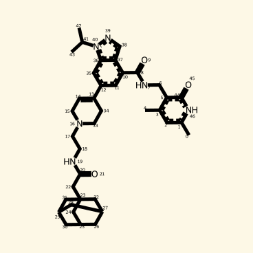 Cc1cc(C)c(CNC(=O)c2cc(C3=CCN(CCNC(=O)CC45CC6CC(CC(C6)C4)C5)CC3)cc3c2cnn3C(C)C)c(=O)[nH]1